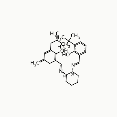 C=C1C=C(CC(C)C)C(O)=C(C=N[C@@H]2CCCC[C@H]2N=Cc2cccc(C(C)(C)C)c2O)C1